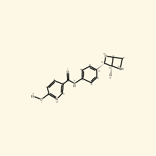 CCOc1ccc(C(=O)Nc2ccc([C@@H]3OC4CN[C@H]43)cc2)cn1